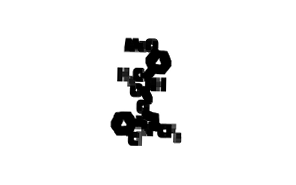 COc1cccc([C@@H](C)NC(=O)COc2cc(C(F)(F)F)nn2-c2ccccc2Cl)c1